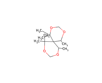 CC1OCOC(C)(C)C12C(C)OCOC2(C)C